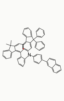 CC1(C)c2ccccc2-c2c(-c3ccccc3N(c3ccc(-c4ccc5ccccc5c4)cc3)c3ccc4c(c3)C(c3ccccc3)(c3ccccc3)c3ccccc3-4)cccc21